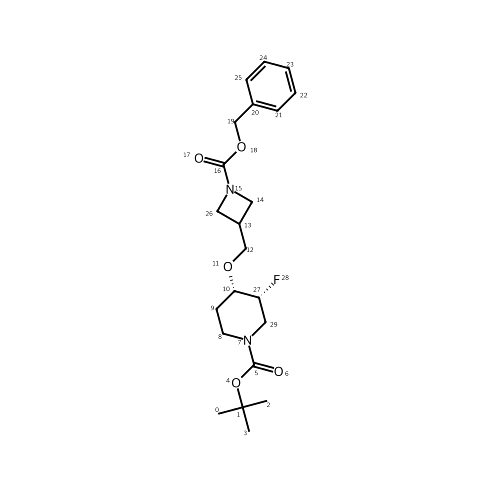 CC(C)(C)OC(=O)N1CC[C@H](OCC2CN(C(=O)OCc3ccccc3)C2)[C@H](F)C1